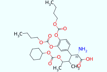 CCCCOC(=O)Oc1ccc(C(C(C)C(C)OC(=O)OC2CCCCC2)[C@H](N)C(=O)O)cc1OC(=O)OCCCC